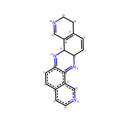 C1=CC2N=c3c(ccc4ccncc34)=NC2C2=C1CCN=C2